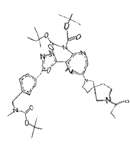 CCC(=O)N1CCC2(CCN(c3cnc(N(C(=O)OC(C)(C)C)C(=O)OC(C)(C)C)c(-c4nnc(-c5ccc(CN(C)C(=O)OC(C)(C)C)cc5)o4)n3)C2)C1